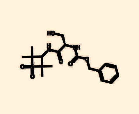 CC1(C)C(NC(=O)[C@@H](CO)NC(=O)OCc2ccccc2)C(C)(C)S1(=O)=O